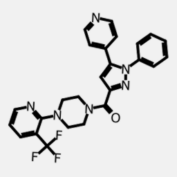 O=C(c1cc(-c2ccncc2)n(-c2ccccc2)n1)N1CCN(c2ncccc2C(F)(F)F)CC1